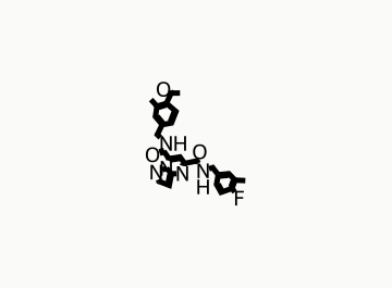 CC(=O)c1ccc(CNC(=O)c2cc(C(=O)NCc3ccc(F)c(C)c3)nc3ccnn23)cc1C